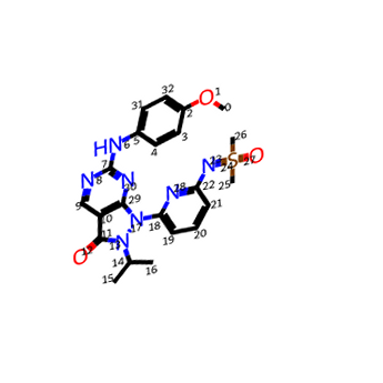 COc1ccc(Nc2ncc3c(=O)n(C(C)C)n(-c4cccc(N=S(C)(C)=O)n4)c3n2)cc1